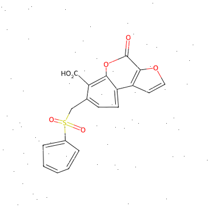 O=C(O)c1c(CS(=O)(=O)c2ccccc2)ccc2c1oc(=O)c1occc12